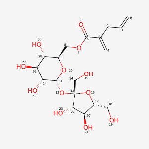 C=CCC(=C)C(=O)OC[C@H]1O[C@H](O[C@]2(CO)O[C@H](CO)[C@@H](O)[C@@H]2O)[C@H](O)[C@@H](O)[C@@H]1O